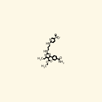 CCOC(=O)c1c(CC)nc(NCCCNc2ccc([N+](=O)[O-])cn2)nc1-c1ccc(C(N)=O)cc1